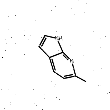 Cc1ccc2cc[nH]c2n1